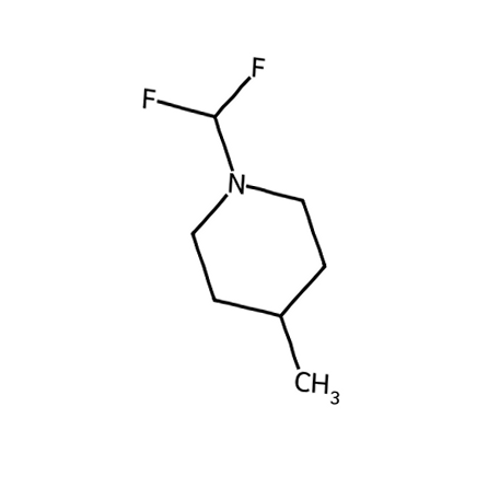 CC1CCN(C(F)F)CC1